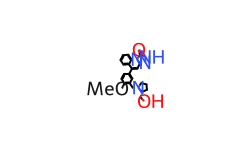 COc1ccc(-c2cc3n[nH]c(=O)n3c3ccccc23)cc1CN1CCC[C@@H]1CO